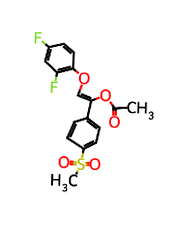 CC(=O)OC(=COc1ccc(F)cc1F)c1ccc(S(C)(=O)=O)cc1